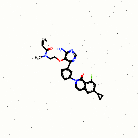 C=CC(=O)N(C)CCOc1c(N)ncnc1-c1cccc(-n2ccc3cc(C4CC4)cc(F)c3c2=O)c1